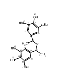 CC(SC(C)c1cc(C(C)(C)C)c(O)c(C(C)(C)C)c1)c1cc(C(C)(C)C)c(O)c(C(C)(C)C)c1